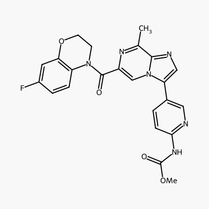 COC(=O)Nc1ccc(-c2cnc3c(C)nc(C(=O)N4CCOc5cc(F)ccc54)cn23)cn1